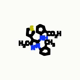 Cc1ccccc1-n1nc(C)c(-c2ccsc2)c1Nc1ccccc1C(=O)O